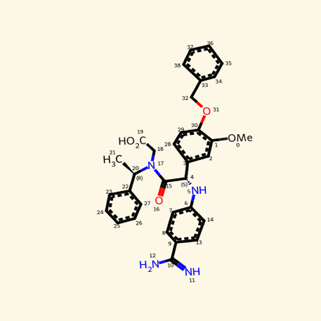 COc1cc([C@H](Nc2ccc(C(=N)N)cc2)C(=O)N(CC(=O)O)[C@H](C)c2ccccc2)ccc1OCc1ccccc1